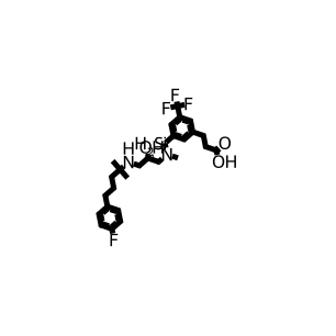 CN(C[C@H](O)CNC(C)(C)CCCc1ccc(F)cc1)[SiH2]c1cc(CCC(=O)O)cc(C(F)(F)F)c1